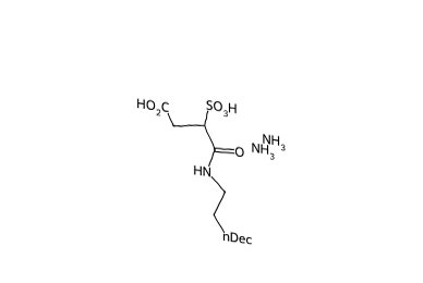 CCCCCCCCCCCCNC(=O)C(CC(=O)O)S(=O)(=O)O.N.N